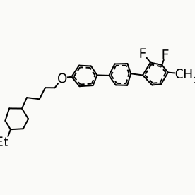 CCC1CCC(CCCCOc2ccc(-c3ccc(-c4ccc(C)c(F)c4F)cc3)cc2)CC1